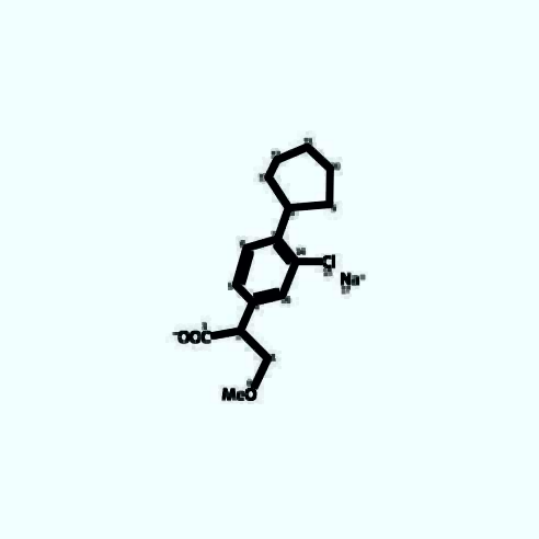 COCC(C(=O)[O-])c1ccc(C2CCCCC2)c(Cl)c1.[Na+]